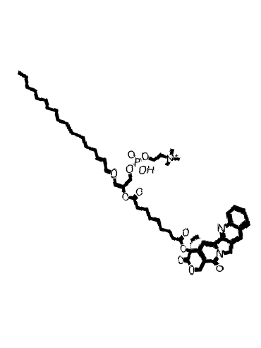 CCCCCCCCCCCCCCCCCOCC(COP(=O)(O)OCC[N+](C)(C)C)OC(=O)CCCCCCCC(=O)O[C@]1(CC)C(=O)OCc2c1cc1n(c2=O)Cc2cc3ccccc3nc2-1